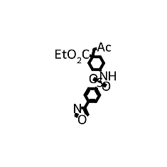 CCOC(=O)C1(CC(C)=O)CCC(NS(=O)(=O)c2ccc(-c3cocn3)cc2)CC1